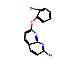 Nc1ccc2ccc(Oc3ccccc3Cl)nc2n1